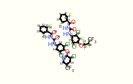 O=C(NC(=O)c1c(F)cccc1F)Nc1cc(Cl)c(OC(F)(F)C(F)C(F)(F)F)cc1Cl.O=C(NC(=O)c1c(F)cccc1F)Nc1cc(Cl)c(Oc2ncc(C(F)(F)F)cc2Cl)c(Cl)c1